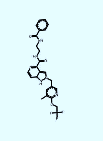 Cc1cc(CN2C=C3C(C(=O)NCCNC(=O)c4ccccc4)=NC=CC3N2)cnc1OCC(F)(F)F